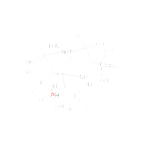 NCC(NC(P(=O)(O)O)P(=O)(O)O)(C(P(=O)(O)O)P(=O)(O)O)C(P(=O)(O)O)P(=O)(O)O